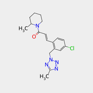 Cc1nnn(Cc2cc(Cl)ccc2C=CC(=O)N2CCCCC2C)n1